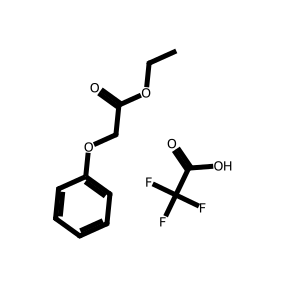 CCOC(=O)COc1ccccc1.O=C(O)C(F)(F)F